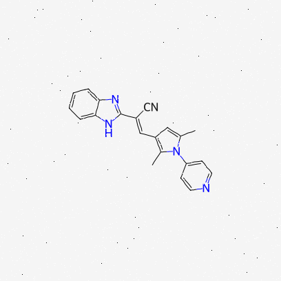 Cc1cc(/C=C(\C#N)c2nc3ccccc3[nH]2)c(C)n1-c1ccncc1